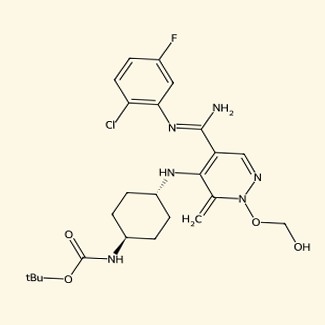 C=C1C(N[C@H]2CC[C@H](NC(=O)OC(C)(C)C)CC2)=C(/C(N)=N/c2cc(F)ccc2Cl)C=NN1OCO